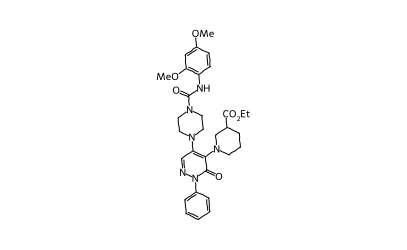 CCOC(=O)C1CCCN(c2c(N3CCN(C(=O)Nc4ccc(OC)cc4OC)CC3)cnn(-c3ccccc3)c2=O)C1